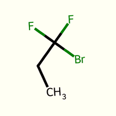 CCC(F)(F)Br